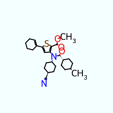 COC(=O)c1sc(C2=CCCCC2)cc1N(C(=O)[C@H]1CC[C@H](C)CC1)[C@H]1CC[C@H](C#N)CC1